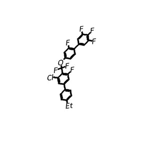 CCc1ccc(-c2cc(F)c(C(F)(F)Oc3ccc(-c4cc(F)c(F)c(F)c4)c(F)c3)c(Cl)c2)cc1